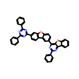 c1ccc(-c2nc(-c3ccccc3)nc(-c3ccc4c(c3)oc3ccc(-c5nc(-c6ccccc6)nc6c5sc5ccccc56)cc34)n2)cc1